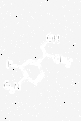 [CH2]C(CO)c1ccc([N+](=O)[O-])c(F)c1